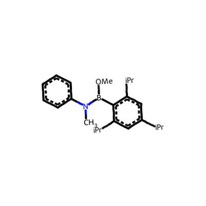 COB(c1c(C(C)C)cc(C(C)C)cc1C(C)C)N(C)c1ccccc1